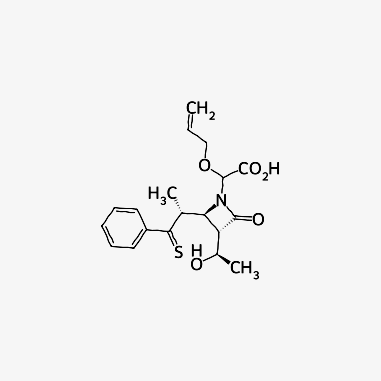 C=CCOC(C(=O)O)N1C(=O)[C@H]([C@@H](C)O)[C@H]1[C@@H](C)C(=S)c1ccccc1